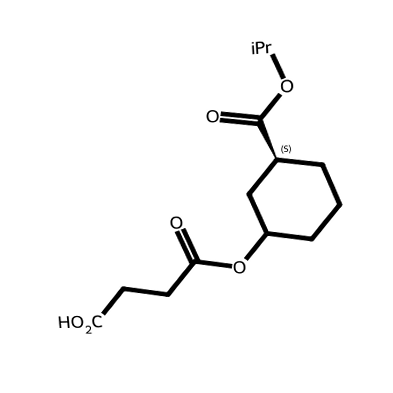 CC(C)OC(=O)[C@H]1CCCC(OC(=O)CCC(=O)O)C1